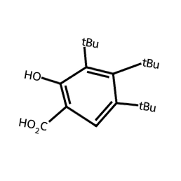 CC(C)(C)c1cc(C(=O)O)c(O)c(C(C)(C)C)c1C(C)(C)C